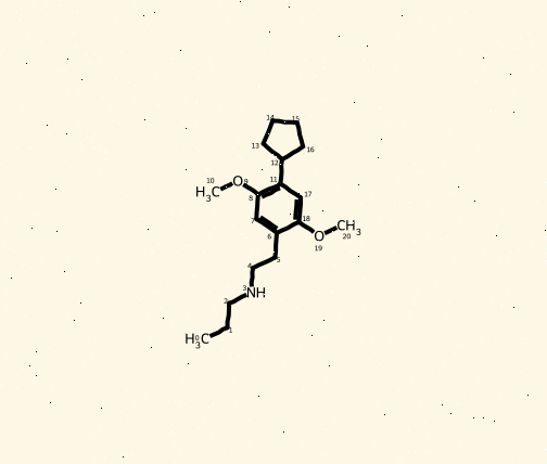 CCCNCCc1cc(OC)c(C2CCCC2)cc1OC